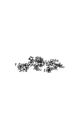 C=C(OS(=O)(=O)C(F)(F)F)[C@H](C)C[C@H]1CC[C@@H]2O[C@@H](CCC(C=C[C@H](O[Si](C)(C)C(C)(C)C)[C@@H]3O[C@H]4CC[C@H](CC(=O)C[C@@H]5[C@@H](OC)[C@@H](C[C@@H](CO[Si](C)(C)C(C)(C)C)O[Si](C)(C)C(C)(C)C)O[C@H]5CCO[Si](CC)(CC)CC)O[C@@H]4[C@H](O[Si](C)(C)C(C)(C)C)[C@@H]3O[Si](C)(C)C(C)(C)C)OC(=O)c3ccccc3)C[C@]2(CI)O1